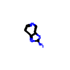 NC1=NC2=CN=CCC2=N1